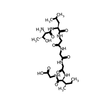 CC[C@H](C)[C@H](NC(=O)CNC(=O)CNC(=O)CNC(=O)[C@H](CC(C)C)NC(=O)[C@@H](N)[C@@H](C)O)C(=O)NCC(=O)O